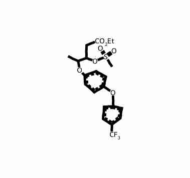 CCOC(=O)CC(OS(C)(=O)=O)C(C)Oc1ccc(Oc2ccc(C(F)(F)F)cc2)cc1